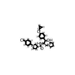 O=C(N[C@H](CN1CCCC1)[C@H](O)c1ccc(OC2CC2)cc1)[C@@H]1CCN(c2ccc(Cl)cc2)C1